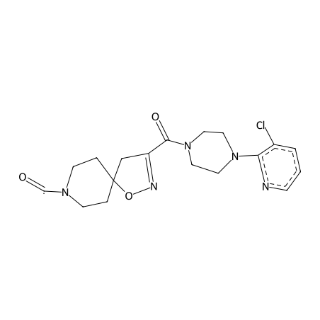 O=[C]N1CCC2(CC1)CC(C(=O)N1CCN(c3ncccc3Cl)CC1)=NO2